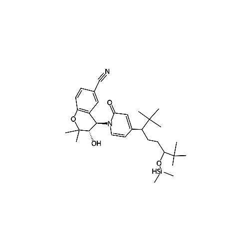 C[SiH](C)OC(CCC(c1ccn([C@@H]2c3cc(C#N)ccc3OC(C)(C)[C@H]2O)c(=O)c1)C(C)(C)C)C(C)(C)C